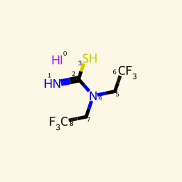 I.N=C(S)N(CC(F)(F)F)CC(F)(F)F